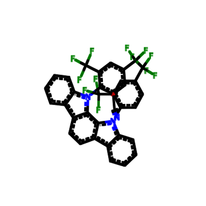 N#Cc1cc(C(F)(F)F)cc(C(F)(F)F)c1-n1c2ccccc2c2ccc3c4ccccc4n(-c4ccc(C(F)(F)F)cc4C(F)(F)F)c3c21